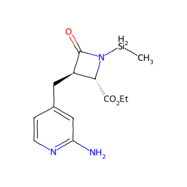 CCOC(=O)[C@@H]1[C@@H](Cc2ccnc(N)c2)C(=O)N1[SiH2]C